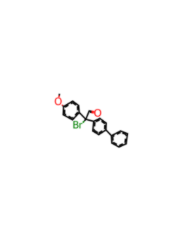 COc1ccc(C(Br)(C=O)c2ccc(-c3ccccc3)cc2)cc1